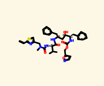 C=Cc1nc(CN(C)C(=O)N[C@H](C(=O)N[C@@H](Cc2ccccc2)C[C@H](O)[C@H](Cc2ccccc2)NC(=O)OCc2ccno2)C(C)C)cs1